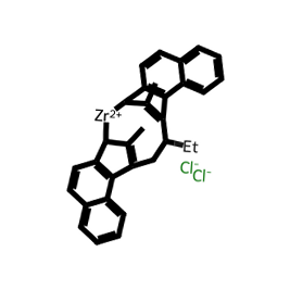 CCC1CC2=C(C)[CH]([Zr+2][CH]3C(C)=C1c1c3ccc3ccccc13)c1ccc3ccccc3c12.[Cl-].[Cl-]